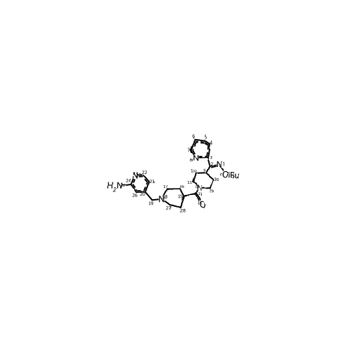 CC(C)CON=C(c1ccccn1)C1CCN(C(=O)C2CCN(Cc3ccnc(N)c3)CC2)CC1